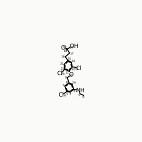 CCNc1cc(Cl)cc(COc2c(Cl)cc(CCC(=O)O)cc2Cl)c1